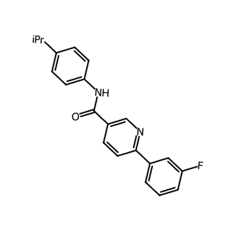 CC(C)c1ccc(NC(=O)c2ccc(-c3cccc(F)c3)nc2)cc1